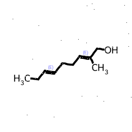 CC/C=C/CC/C=C(\C)CO